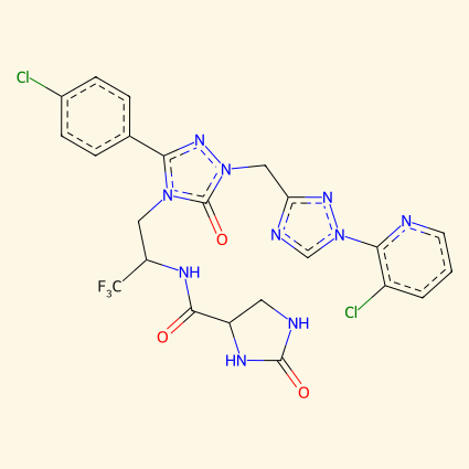 O=C1NCC(C(=O)NC(Cn2c(-c3ccc(Cl)cc3)nn(Cc3ncn(-c4ncccc4Cl)n3)c2=O)C(F)(F)F)N1